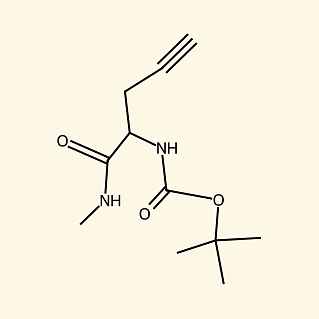 C#CCC(NC(=O)OC(C)(C)C)C(=O)NC